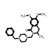 COc1cc2c(cc1OC)C(=O)N(CN1CCN(Cc3ccccc3)CC1)C(C)C2